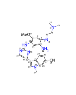 COc1cc(N(C)CCN(C)C)c(N)cc1Nc1nccc(-c2cn(C)c3cc(C#N)ccc23)n1